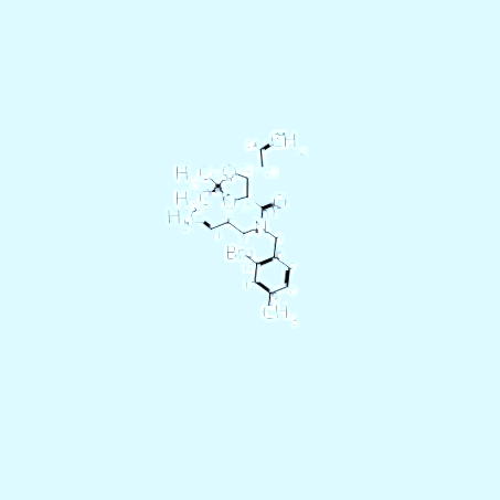 C=CCCN(Cc1ccc(C)cc1Br)C(=O)[C@H]1OC(C)(C)O[C@@H]1CC=C